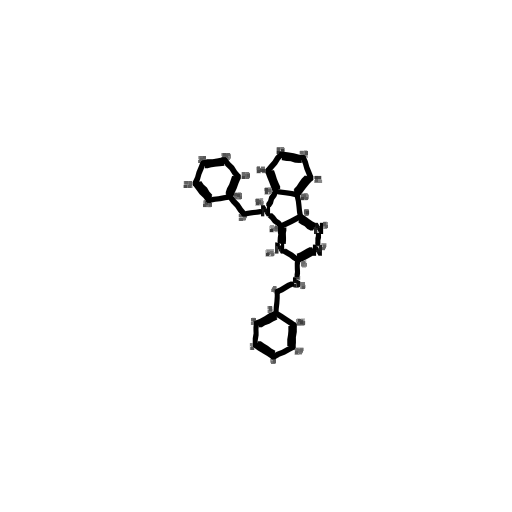 c1ccc(CSc2nnc3c4ccccc4n(Cc4ccccc4)c3n2)cc1